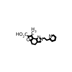 Cc1c(C(=O)O)oc2c1-c1nn(CCc3ccccn3)cc1CC2